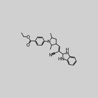 CCOC(=O)c1ccc(N2C(C)CC(/C=C(\C#N)C3Nc4ccccc4N3)C2C)cc1